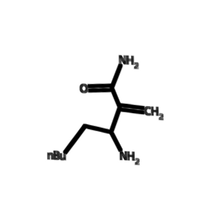 C=C(C(N)=O)C(N)CCCCC